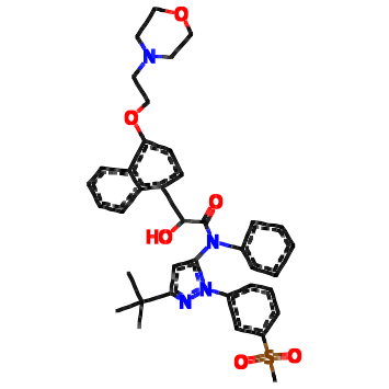 CC(C)(C)c1cc(N(C(=O)C(O)c2ccc(OCCN3CCOCC3)c3ccccc23)c2ccccc2)n(-c2cccc(S(C)(=O)=O)c2)n1